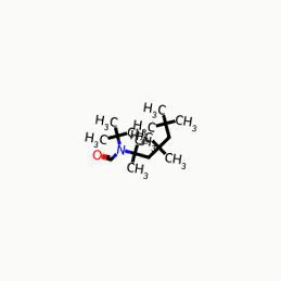 CC(C)(C)CC(C)(C)CC(C)(C)N(C=O)C(C)(C)C